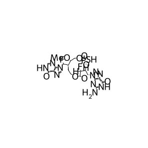 CO[C@@H]1COP(=O)(S)O[C@H]2[C@H](n3nnc4c(=O)[nH]c(N)nc43)OC(OCC[C@H]1[C@H](F)n1cnc3c(=O)[nH]cnc31)[C@@H]2F